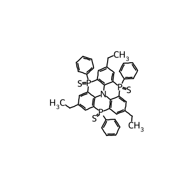 CCc1cc2c3c(c1)P(=S)(c1ccccc1)c1cc(CC)cc4c1N3c1c(cc(CC)cc1P4(=S)c1ccccc1)P2(=S)c1ccccc1